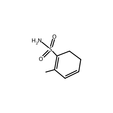 CC1=C(S(N)(=O)=O)CCC=C1